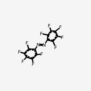 Fc1c(F)c(F)c(/N=N/c2c(F)c(F)c(F)c(F)c2F)c(F)c1F